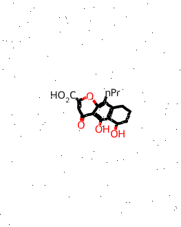 CCCc1c2c(c(O)c3c(=O)cc(C(=O)O)oc13)C(O)CCC2